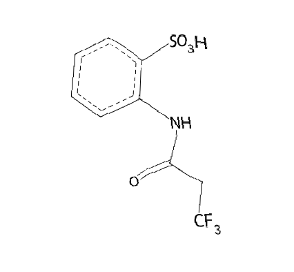 O=C(CC(F)(F)F)Nc1ccccc1S(=O)(=O)O